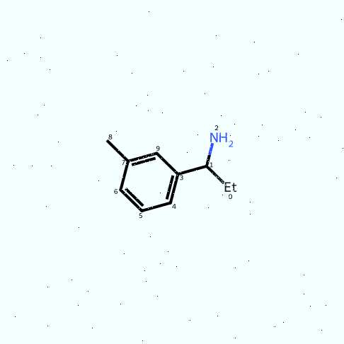 CCC(N)c1cccc(C)c1